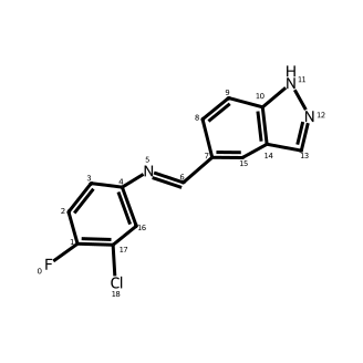 Fc1ccc(N=Cc2ccc3[nH]ncc3c2)cc1Cl